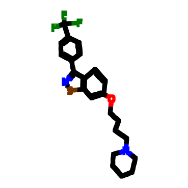 FC(F)(F)c1ccc(-c2nsc3cc(OCCCCN4CCCCC4)ccc23)cc1